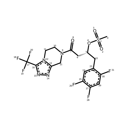 CS(=O)(=O)O[C@@H](CC(=O)N1CCn2c(nnc2C(F)(F)F)C1)Cc1cc(F)c(F)cc1F